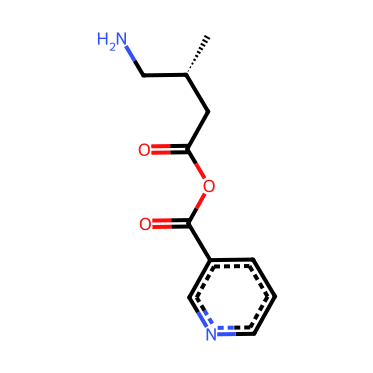 C[C@@H](CN)CC(=O)OC(=O)c1cccnc1